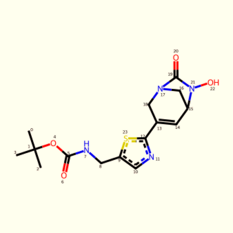 CC(C)(C)OC(=O)NCc1cnc(C2=CC3CN(C2)C(=O)N3O)s1